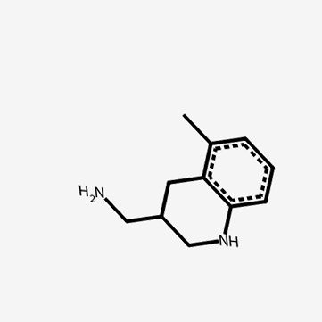 Cc1cccc2c1CC(CN)CN2